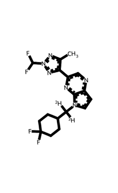 [2H]C([2H])(C1CCC(F)(F)CC1)n1ccc2ncc(-c3nn(C(F)F)nc3C)nc21